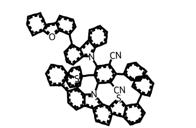 N#Cc1c(-c2ccccc2)c(C#N)c(-n2c3c(ccc4c5ccccc5sc43)c3ccc4c5cccc(-c6ccccc6)c5sc4c32)c(-c2ccccc2)c1-n1c2ccccc2c2c(-c3cccc4c3oc3ccccc34)cccc21